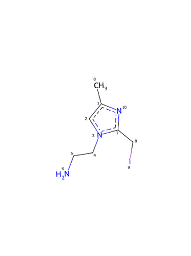 Cc1cn(CCN)c(CI)n1